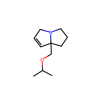 CC(C)OCC12C=CCN1CCC2